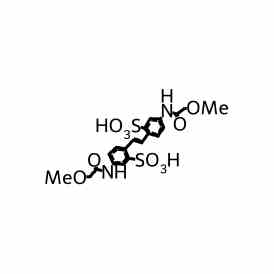 COCC(=O)Nc1ccc(C=Cc2ccc(NC(=O)COC)cc2S(=O)(=O)O)c(S(=O)(=O)O)c1